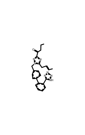 CC=CCc1nc(C(=O)CCC)nn1Cc1ccc(-c2ccccc2-c2nnn[nH]2)cc1